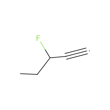 [C]#CC(F)CC